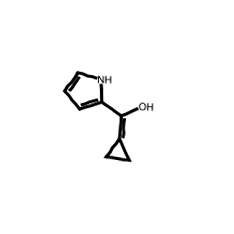 OC(=C1CC1)c1ccc[nH]1